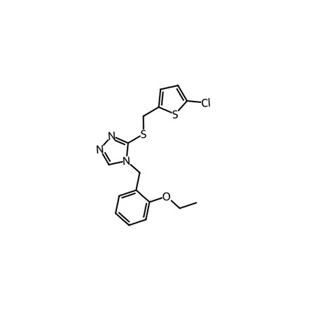 CCOc1ccccc1Cn1cnnc1SCc1ccc(Cl)s1